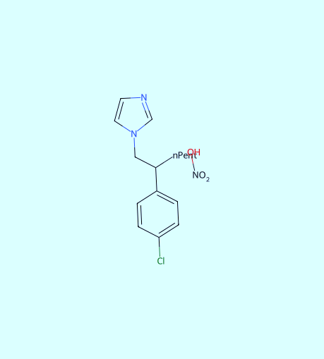 CCCCCC(Cn1ccnc1)c1ccc(Cl)cc1.O=[N+]([O-])O